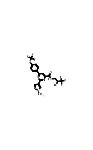 Cn1cc(-c2nc(C(=O)NCC(O)C(F)(F)F)cc(-c3ccc(OC(F)(F)F)cc3)n2)cn1